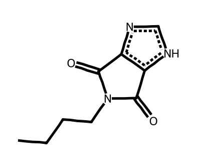 CCCCN1C(=O)c2nc[nH]c2C1=O